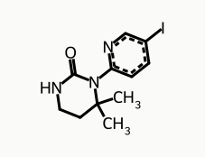 CC1(C)CCNC(=O)N1c1ccc(I)cn1